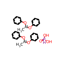 O=[PH](O)O.[CH3][Al]([O]c1ccccc1)[O]c1ccccc1.[CH3][Al]([O]c1ccccc1)[O]c1ccccc1